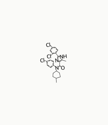 Cc1[nH]c(-c2ccc(Cl)cc2Cl)nc1C(=O)N(c1ccc(Cl)cc1)C1CCC(C)CC1